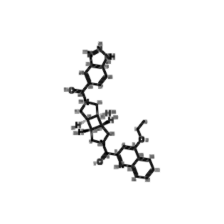 CCOc1cc(C(=O)N2C[C@@H]3[C@H]4CN(C(=O)c5ccc6[nH]nnc6c5)C[C@H]4[C@@H]3C2)nc2ccccc12